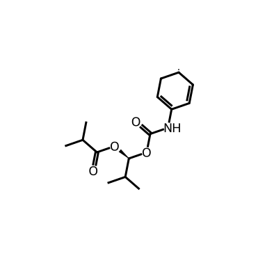 CC(C)C(=O)O[C@@H](OC(=O)NC1=CC[CH]C=C1)C(C)C